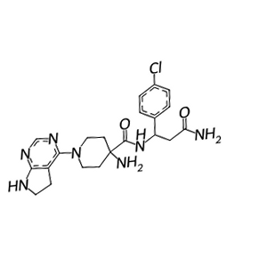 NC(=O)CC(NC(=O)C1(N)CCN(c2ncnc3c2CCN3)CC1)c1ccc(Cl)cc1